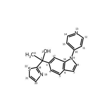 CC(O)(c1ccc2ccn(-c3ccncc3)c2c1)c1nccs1